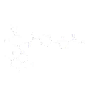 CNc1nc(-c2ccc(C(=O)N[C@@H](CC(C)C)C(=O)N3C[C@H](F)[C@H]4OCC(=O)[C@H]43)cc2)cs1